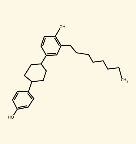 CCCCCCCCc1cc(C2CCC(c3ccc(O)cc3)CC2)ccc1O